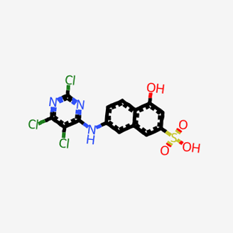 O=S(=O)(O)c1cc(O)c2ccc(Nc3nc(Cl)nc(Cl)c3Cl)cc2c1